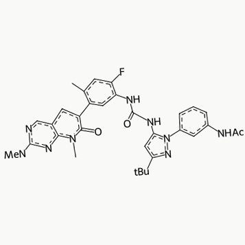 CNc1ncc2cc(-c3cc(NC(=O)Nc4cc(C(C)(C)C)nn4-c4cccc(NC(C)=O)c4)c(F)cc3C)c(=O)n(C)c2n1